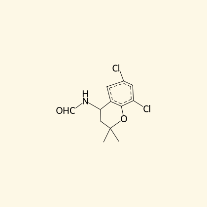 CC1(C)CC(NC=O)c2cc(Cl)cc(Cl)c2O1